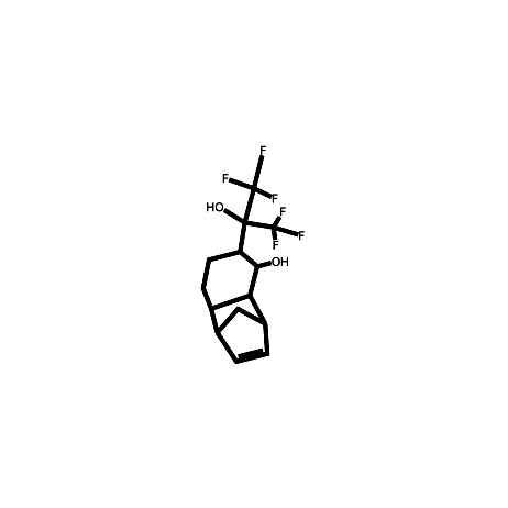 OC1C2C3C=CC(C3)C2CCC1C(O)(C(F)(F)F)C(F)(F)F